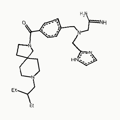 CCC(CC)CN1CCC2(CC1)CCN(C(=O)c1ccc(CN(CC(=N)N)Cc3ncc[nH]3)cc1)C2